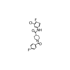 O=C(Nc1ccc(F)c(Cl)c1)C1CCN(C(=O)c2ccc(F)cc2)CC1